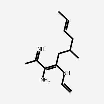 C=CN/C(CC(C)C/C=C/C)=C(\N)C(C)=N